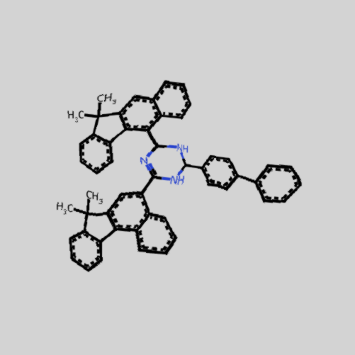 CC1(C)c2ccccc2-c2c1cc1ccccc1c2C1N=C(c2cc3c(c4ccccc24)-c2ccccc2C3(C)C)NC(c2ccc(-c3ccccc3)cc2)N1